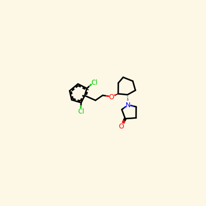 O=C1CCN([C@H]2CCCC[C@@H]2OCCc2c(Cl)cccc2Cl)C1